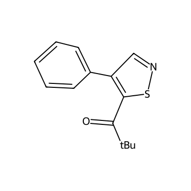 CC(C)(C)C(=O)c1sncc1-c1ccccc1